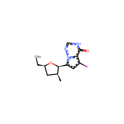 CC(=O)OC[C@@H]1C[C@H](C)[C@H](c2cc(I)c3c(=O)[nH]cnn23)O1